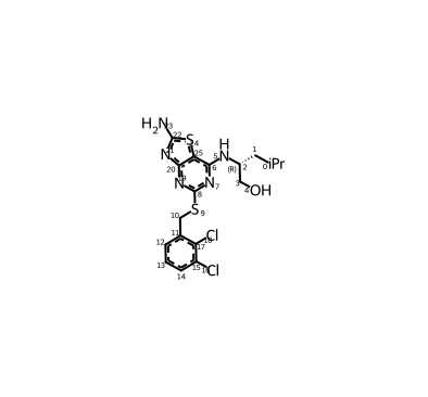 CC(C)C[C@H](CO)Nc1nc(SCc2cccc(Cl)c2Cl)nc2nc(N)sc12